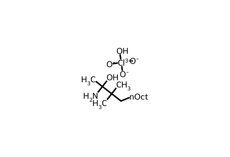 CCCCCCCCCC(C)(C)C(C)(N)O.[O-][Cl+3]([O-])([O-])O